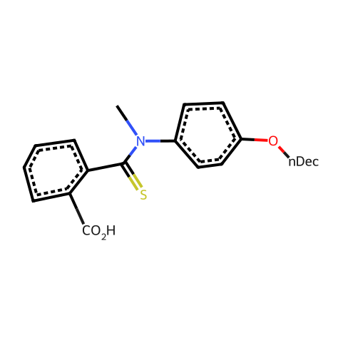 CCCCCCCCCCOc1ccc(N(C)C(=S)c2ccccc2C(=O)O)cc1